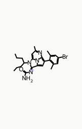 CCCC(CCC)n1/c(=N\C(N)=O)c2cc(-c3c(C)cc(Br)cc3C)c3nc(C)cc1n32